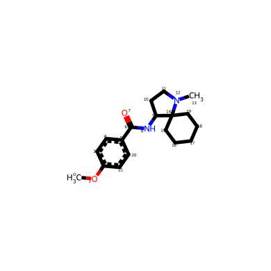 COc1ccc(C(=O)NC2CCN(C)C23CCCCC3)cc1